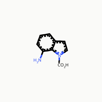 Nc1cccc2ccn(C(=O)O)c12